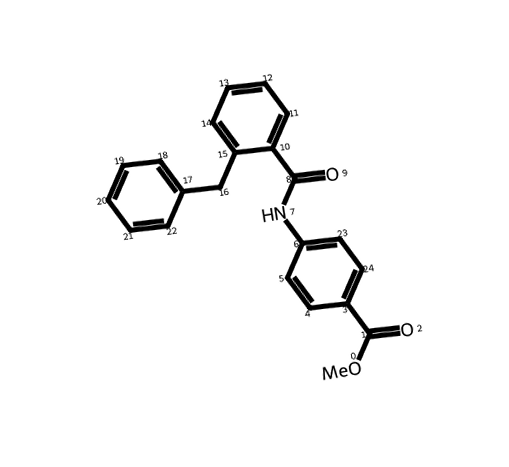 COC(=O)c1ccc(NC(=O)c2ccccc2Cc2ccccc2)cc1